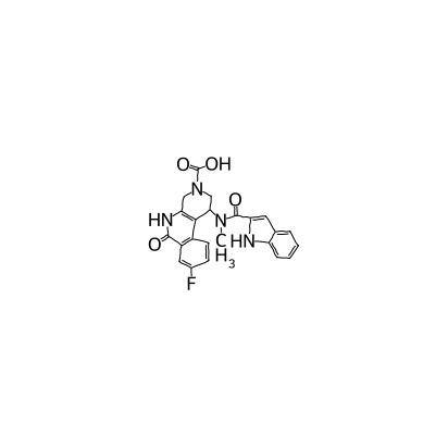 CN(C(=O)c1cc2ccccc2[nH]1)C1CN(C(=O)O)Cc2[nH]c(=O)c3cc(F)ccc3c21